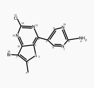 Cc1sc2c(-c3cnc(N)nc3)nc(Cl)nc2c1Br